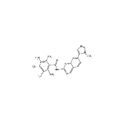 Bc1c(B)c(C(=O)Nc2ncc3ccc(-c4cncn4C)cc3n2)c(B)c(B)c1C